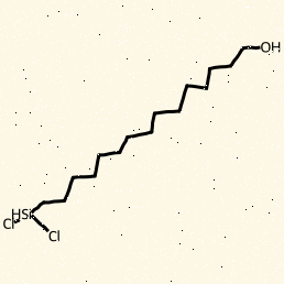 OCCCCCCCCCCCCCCC[SiH](Cl)Cl